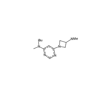 CCC(C)N(C)c1cc(N2CC(NC)C2)ncn1